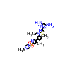 CCCN(c1nc(-c2nc(N)cc(N)n2)cs1)c1cc(-c2cnc(S(=O)(=O)N3CCN(C)CC3)cc2C)ccc1C